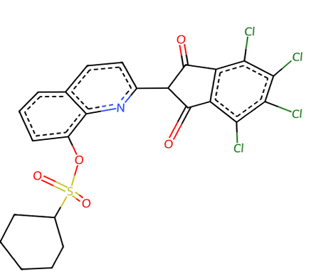 O=C1c2c(Cl)c(Cl)c(Cl)c(Cl)c2C(=O)C1c1ccc2cccc(OS(=O)(=O)C3CCCCC3)c2n1